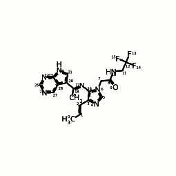 CC=Cc1ncn(CC(=O)NCC(F)(F)F)c1/N=C(\C)c1c[nH]c2ncncc12